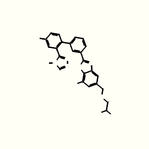 CCC(O)CNCc1cc(C(F)(F)F)c2oc(-c3cccc(-c4ccc(F)cc4-c4nncn4C)c3)nc2c1